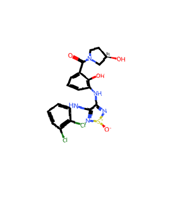 O=C(c1cccc(Nc2n[s+]([O-])nc2Nc2cccc(Cl)c2Cl)c1O)N1CC[C@@H](O)C1